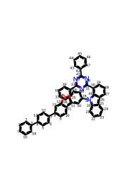 c1ccc(-c2ccc(-c3ccc4c(c3)oc3ccc(-n5c6ccccc6c6cccc(-c7nc(-c8ccccc8)nc(-c8ccccc8)n7)c65)cc34)cc2)cc1